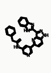 C=C(Cc1ccccc1)Nc1cncc(-c2ccc3[nH]nc(-c4nc5ccccc5[nH]4)c3n2)c1